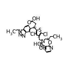 CC[C@@H]1CN(Cc2cc([C@H](CC(=O)O)c3ccc4c(nnn4CC)c3C)sc2Cl)S(O)(O)c2cccnc2O1